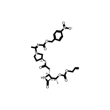 C=CCOC(=O)O[C@H](C)[C@H]1C(=O)N[C@@H]1CC(=O)S[C@H]1CCN(C(C)=NC(=O)OCc2ccc([N+](=O)[O-])cc2)C1